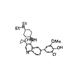 CCN(CC)[C@H]1CC[C@@H](Nc2c(C3(C=O)CC3)cnc3ccc(-c4cc(Cl)c(O)c(OC)c4)cc23)CC1